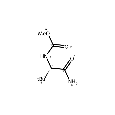 COC(=O)N[C@H](C(N)=O)C(C)(C)C